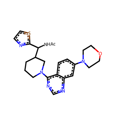 CC(=O)NC(c1nccs1)C1CCCN(c2ncnc3cc(N4CCOCC4)ccc23)C1